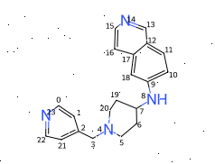 c1cc(CN2CCC(Nc3ccc4cnccc4c3)CC2)ccn1